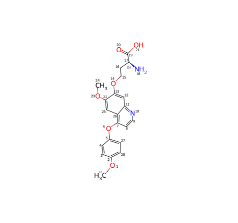 COc1ccc(Oc2ccnc3cc(OCC[C@H](N)C(=O)O)c(OC)cc23)cc1